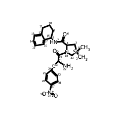 C[Si]1(C)CC(C(=O)N[C@@H]2CCCc3ccccc32)N(C(=O)C(N)Cc2ccc([N+](=O)[O-])cc2)C1